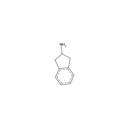 NC1[CH]c2ccccc2C1